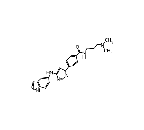 CN(C)CCCNC(=O)c1ccc(-c2cc(Nc3ccc4[nH]ncc4c3)ncn2)cc1